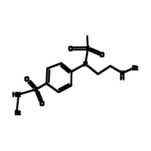 CCNCCN(c1ccc(S(=O)(=O)NCC)cc1)S(C)(=O)=O